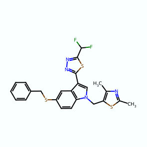 Cc1nc(C)c(Cn2cc(-c3nnc(C(F)F)s3)c3cc(SCc4ccccc4)ccc32)s1